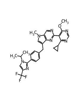 COc1ncnc(C2CC2)c1-c1ncc2c(n1)c(Cc1ccc(-c3nc(C(F)(F)F)cn3C(C)C)cc1)cn2C